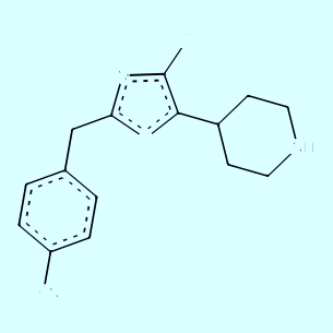 CCc1nc(Cc2ccc(C#N)cc2)sc1C1CCNCC1